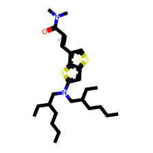 CCCCC(CC)CN(CC(CC)CCCC)c1cc2scc(/C=C/C(=O)N(C)C)c2s1